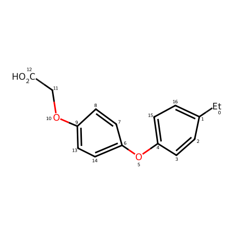 CCc1ccc(Oc2ccc(OCC(=O)O)cc2)cc1